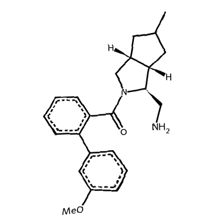 COc1cccc(-c2ccccc2C(=O)N2C[C@@H]3CC(C)C[C@@H]3[C@H]2CN)c1